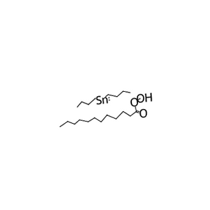 CCCCCCCCCCCC(=O)OO.CCC[CH2][Sn][CH2]CCC